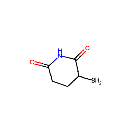 BC1CCC(=O)NC1=O